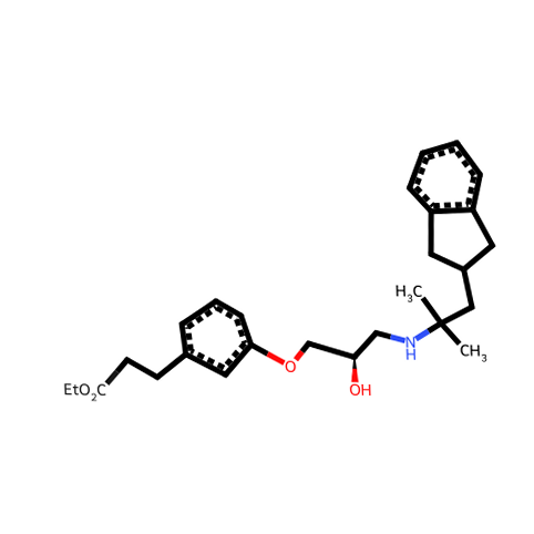 CCOC(=O)CCc1cccc(OC[C@H](O)CNC(C)(C)CC2Cc3ccccc3C2)c1